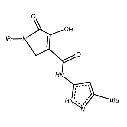 CC(C)N1CC(C(=O)Nc2cc(C(C)(C)C)n[nH]2)=C(O)C1=O